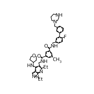 CCc1nc2c(cnn2CC)c(NC2CCOCC2)c1CNC(=O)c1cc(C)cc(C(=O)NCc2ccc(F)c(-c3cccc(CN4CCCNCC4)c3)c2)c1